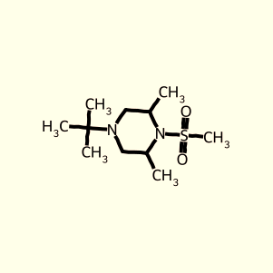 CC1CN(C(C)(C)C)CC(C)N1S(C)(=O)=O